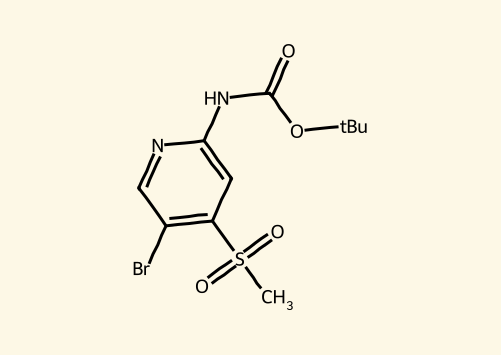 CC(C)(C)OC(=O)Nc1cc(S(C)(=O)=O)c(Br)cn1